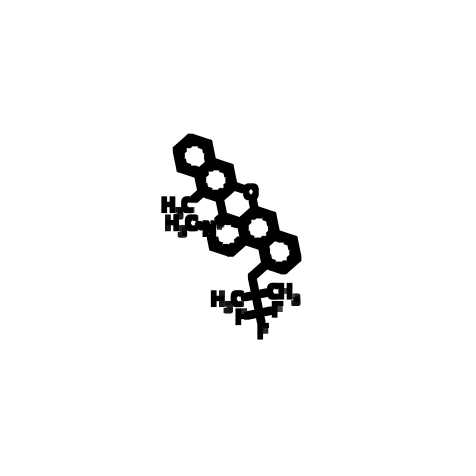 Cc1c2c(cc3ccccc13)Oc1cc3cccc(CC(C)(C)C(F)(F)F)c3c3cc[n+](C)c-2c13